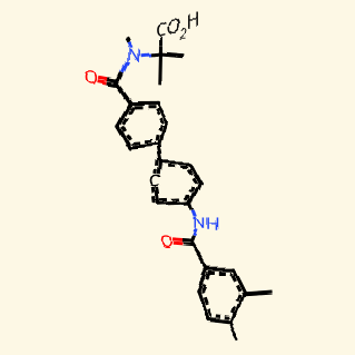 Cc1ccc(C(=O)Nc2ccc(-c3ccc(C(=O)N(C)C(C)(C)C(=O)O)cc3)cc2)cc1C